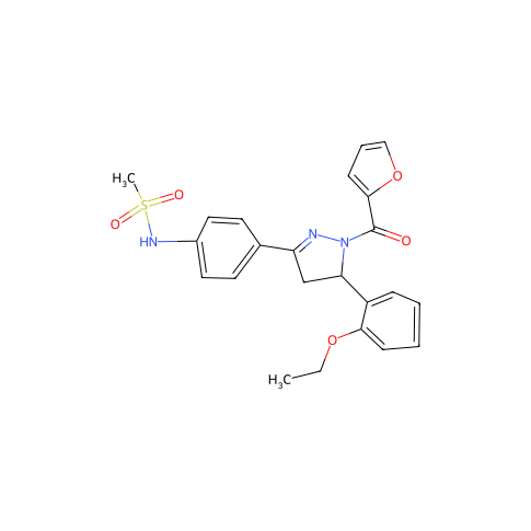 CCOc1ccccc1C1CC(c2ccc(NS(C)(=O)=O)cc2)=NN1C(=O)c1ccco1